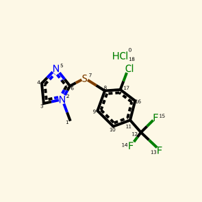 Cl.Cn1ccnc1Sc1ccc(C(F)(F)F)cc1Cl